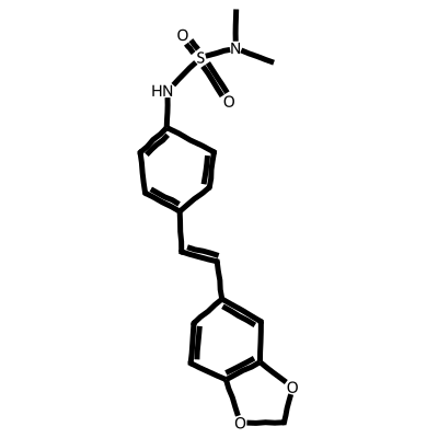 CN(C)S(=O)(=O)Nc1ccc(/C=C/c2ccc3c(c2)OCO3)cc1